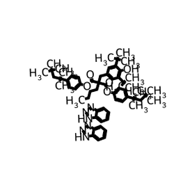 CCCCC(Cc1cc(C(C)(C)C)c(O)c(C(C)(C)C)c1)(C(=O)Oc1ccc(C(C)(C)CC(C)(C)C)cc1)C(=O)Oc1ccc(C(C)(C)CC(C)(C)C)cc1.c1ccc2[nH]nnc2c1.c1ccc2[nH]nnc2c1